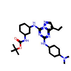 CCc1cnn2c(NC3CCCC(NC(=O)OC(C)(C)C)C3)nc(NC3CCC(N(C)C)CC3)nc12